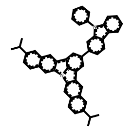 CC(C)c1ccc2cc3c(cc2c1)c1cc(-c2ccc4c5ccccc5n(-c5ccccc5)c4c2)cc2c4cc5cc(C(C)C)ccc5cc4n3c12